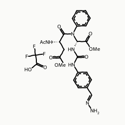 COC(=O)C[C@H](NC(C)=O)C(=O)N(c1ccccc1)[C@@H](NC(=O)Nc1ccc(C=NN)cc1)C(=O)OC.O=C(O)C(F)(F)F